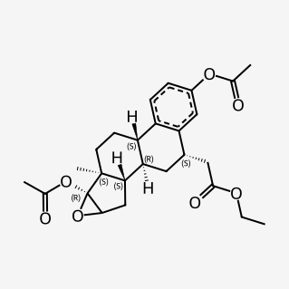 CCOC(=O)C[C@@H]1C[C@@H]2[C@H](CC[C@@]3(C)[C@H]2CC2O[C@]23OC(C)=O)c2ccc(OC(C)=O)cc21